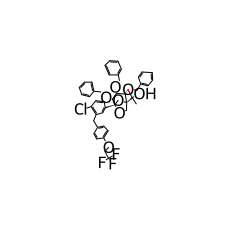 CC(C)(O)[C@@]12CO[C@@](c3ccc(Cl)c(Cc4ccc(OCC(F)(F)F)cc4)c3)(O1)[C@H](OCc1ccccc1)[C@@H](OCc1ccccc1)[C@@H]2OCc1ccccc1